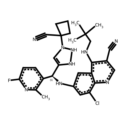 Cc1nc(F)ccc1[C@H](Nc1cc(Cl)c2ncc(C#N)c(NCC(C)(C)C)c2c1)C1=CN(C2(C#N)CCC2)NN1